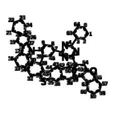 c1ccc(-c2nc(-c3ccc(-n4c5ccccc5c5cc6ccccc6cc54)c(-c4cccc5sc6cc7ccccc7cc6c45)c3)nc(-c3ccc4c(c3)oc3ccccc34)n2)cc1